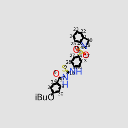 CC(C)COc1ccc(C(=O)NC(=S)Nc2ccc(S(=O)(=O)N3CCc4ccccc43)cc2)cc1